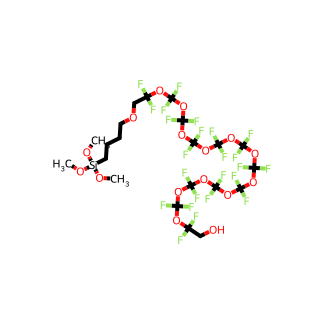 CO[Si](CCCCOCC(F)(F)OC(F)(F)OC(F)(F)OC(F)(F)OC(F)(F)OC(F)(F)OC(F)(F)OC(F)(F)OC(F)(F)OC(F)(F)OC(F)(F)OC(F)(F)CO)(OC)OC